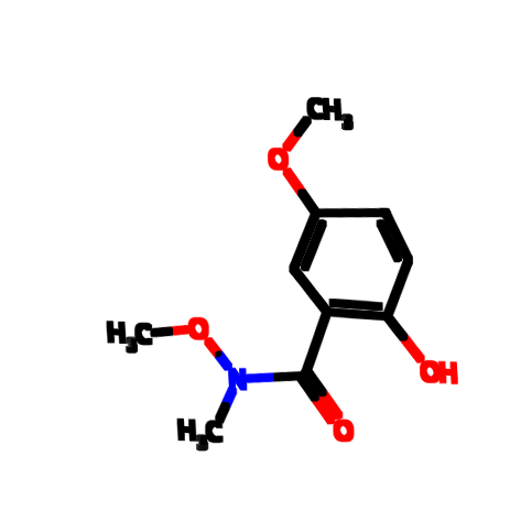 COc1ccc(O)c(C(=O)N(C)OC)c1